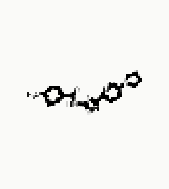 O=C(Nc1nc(-c2ccc(N3CCCC3)cn2)ns1)c1ccc(C(F)(F)F)cc1